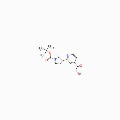 CC(C)(C)OC(=O)N1CCC(c2cc(C(=O)CBr)ccn2)C1